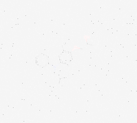 CCCCC1CSc2cc(OCC(O)C=O)c(SC)cc2N(c2ccccc2)C1